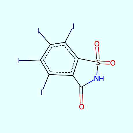 O=C1NS(=O)(=O)c2c(I)c(I)c(I)c(I)c21